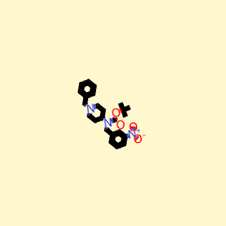 CC(C)(C)OC(=O)N(Cc1cccc([N+](=O)[O-])c1)C1CCN(Cc2ccccc2)CC1